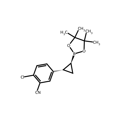 CC1(C)OB([C@H]2C[C@@H]2c2ccc(Cl)c(C#N)c2)OC1(C)C